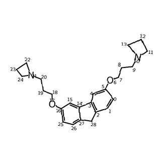 c1cc2c(cc1OCCCN1CCC1)-c1cc(OCCCN3CCC3)ccc1C2